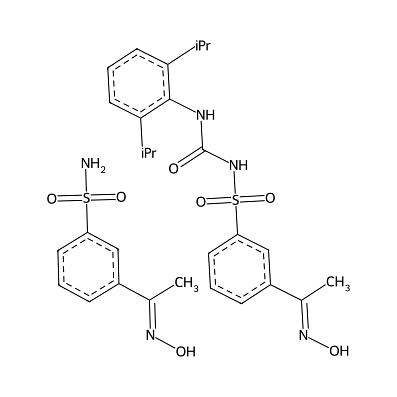 C/C(=N\O)c1cccc(S(=O)(=O)NC(=O)Nc2c(C(C)C)cccc2C(C)C)c1.C/C(=N\O)c1cccc(S(N)(=O)=O)c1